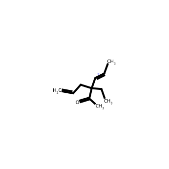 C=CCC(/C=C/C)(CC)C(C)=O